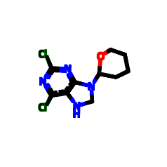 Clc1nc(Cl)c2c(n1)N(C1CCCCO1)CN2